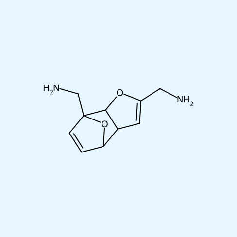 NCC1=CC2C3C=CC(CN)(O3)C2O1